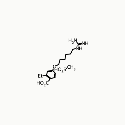 CCc1cc(OCCCCCCNC(=N)N)ccc1C(=O)O.CS(=O)(=O)O